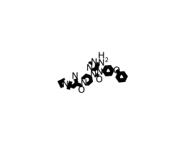 CC(C)(C=C(C#N)C(=O)N1CCC(n2c(=O)n(-c3ccc(Oc4ccccc4)cc3)c3c(N)ncnc32)CC1)N1CCC1